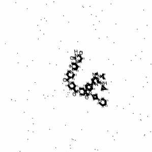 CC(C)n1cnc2cc(-c3ccc4c(c3)N([C@H]3C[C@@H](N5CCCCC5)C3)C(=O)C43CCN(C(=O)C4CCN(C(=O)C5CCN(c6ccc(N7CCC(=O)NC7=O)cn6)CC5)CC4)CC3)nc(NC3CC3)c21